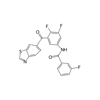 O=C(Nc1cc(F)c(F)c(C(=O)c2ccc3ncsc3c2)c1)c1cccc(F)c1